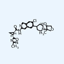 Cc1noc([C@@H]2C[C@H]2C(=O)Nc2cc3cc(C4CCN([C@@]5(C)COC[C@H]5O)CC4)c(Cl)cc3cn2)n1